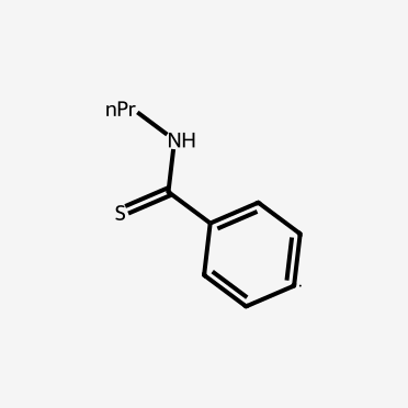 CCCNC(=S)c1cc[c]cc1